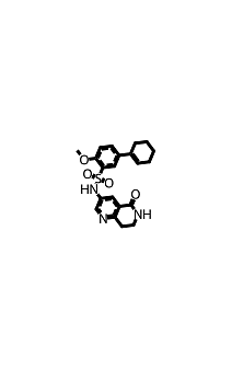 COc1ccc(C2=CCCCC2)cc1S(=O)(=O)Nc1cnc2c(c1)C(=O)NCC2